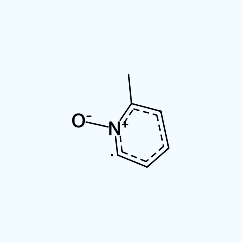 Cc1ccc[c][n+]1[O-]